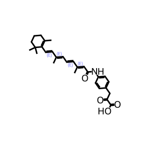 CC1=C(/C=C/C(C)=C/C=C/C(C)=C/C(=O)Nc2ccc(CC(=O)C(=O)O)cc2)C(C)(C)CCC1